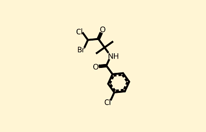 CC(C)(NC(=O)c1cccc(Cl)c1)C(=O)C(Cl)Br